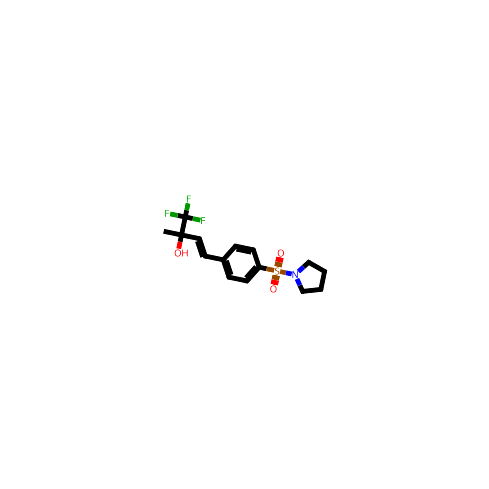 CC(O)(/C=C/c1ccc(S(=O)(=O)N2CCCC2)cc1)C(F)(F)F